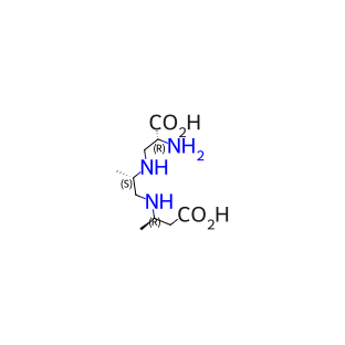 C[C@H](CC(=O)O)NC[C@H](C)NC[C@@H](N)C(=O)O